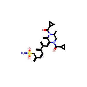 C=C(/C=C\C(=C)C(=C)/C=C1\C(=C)N(C(=O)C2CC2)C(C)CN1C(=O)C1CC1)CS(N)(=O)=O